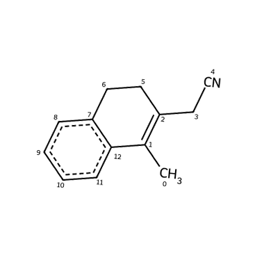 CC1=C(CC#N)CCc2ccccc21